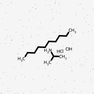 CC(C)N.CCCCCCCCCC.Cl.Cl